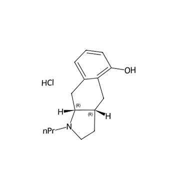 CCCN1CC[C@H]2Cc3c(O)cccc3C[C@H]21.Cl